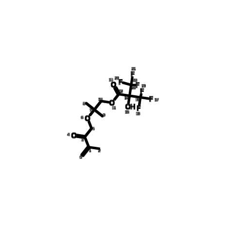 C=C(C)C(=O)COC(C)(C)COC(=O)C(O)(C(F)(F)F)C(F)(F)F